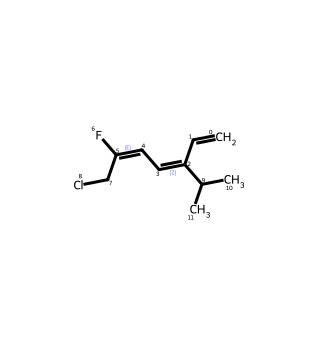 C=C/C(=C\C=C(\F)CCl)C(C)C